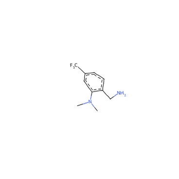 CN(C)c1cc(C(F)(F)F)ccc1CN